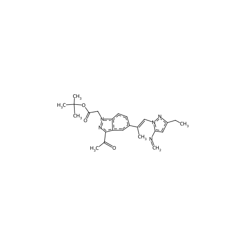 C=Nc1cc(CC)nn1/C=C(\C)c1ccc2c(c1)c(C(C)=O)nn2CC(=O)OC(C)(C)C